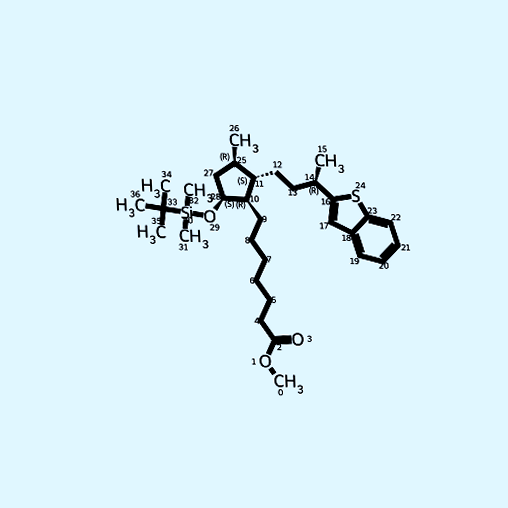 COC(=O)CCCCCC[C@@H]1[C@@H](CC[C@@H](C)c2cc3ccccc3s2)[C@H](C)C[C@@H]1O[Si](C)(C)C(C)(C)C